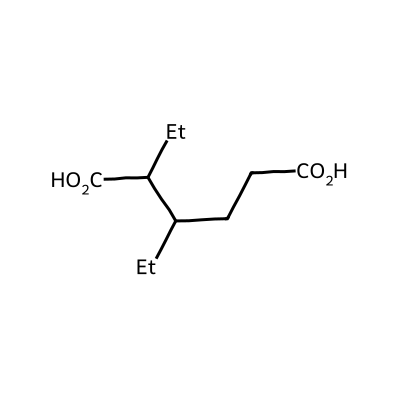 CCC(CCC(=O)O)C(CC)C(=O)O